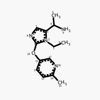 CCn1c(C(C)N)cnc1Oc1ccc(C)nc1